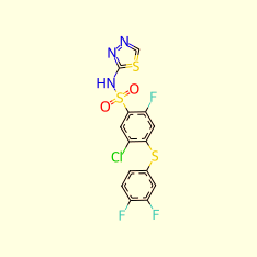 O=S(=O)(Nc1nncs1)c1cc(Cl)c(Sc2ccc(F)c(F)c2)cc1F